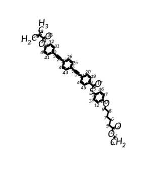 C=COC(=O)CCCCCOc1ccc(SC(=O)c2ccc(C#Cc3ccc(C#Cc4ccc(OC(=O)C(=C)C)cc4)cc3)cc2)cc1